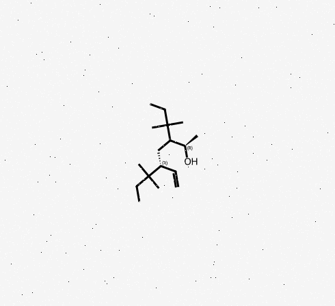 C=C[C@@H](CC([C@@H](C)O)C(C)(C)CC)C(C)(C)CC